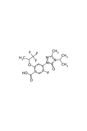 Cc1nn(-c2cc(OC(C)C(F)(F)F)c(C(=O)O)cc2F)c(=O)n1C(C)C